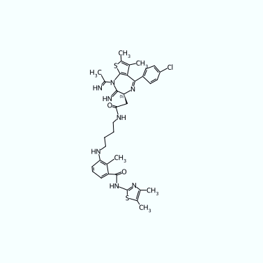 CC(=N)N1C(=N)[C@H](CC(=O)NCCCCNc2cccc(C(=O)Nc3nc(C)c(C)s3)c2C)N=C(c2ccc(Cl)cc2)c2c1sc(C)c2C